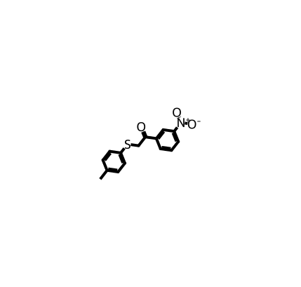 Cc1ccc(SCC(=O)c2cccc([N+](=O)[O-])c2)cc1